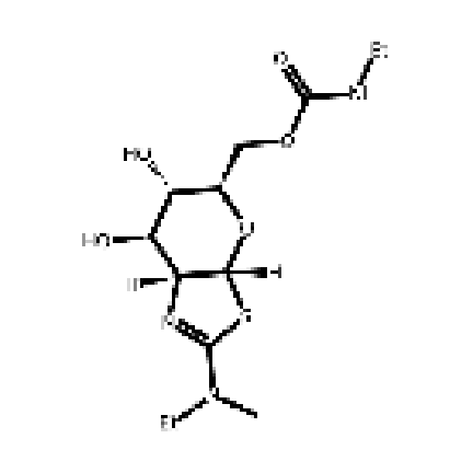 CCNC(=O)OC[C@H]1O[C@@H]2SC(N(C)CC)=N[C@@H]2[C@@H](O)[C@@H]1O